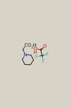 O=C(O)C(F)(F)F.O=C(O)CN1CCCCC1